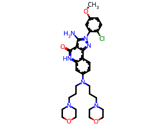 COc1ccc(Cl)c(-n2nc3c(c2N)c(=O)[nH]c2cc(N(CCCN4CCOCC4)CCCN4CCOCC4)ccc23)c1